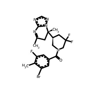 CC1=Nc2ncnn2[C@](C)([C@@H]2CN(C(=O)c3cc(F)c(C)c(Br)c3)CC(F)(F)C2)C1